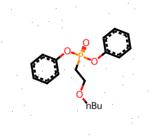 CCCCOCCP(=O)(Oc1ccccc1)Oc1ccccc1